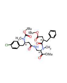 COC(=O)[C@@H](CNC(=O)C[C@@H](Cc1ccc(Cl)cc1)N(C)C(=O)OC(C)(C)C)N(C)C(=O)[C@@H](CC(=O)OC(C)(C)C)Cc1ccccc1